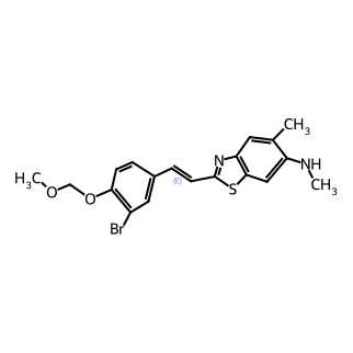 CNc1cc2sc(/C=C/c3ccc(OCOC)c(Br)c3)nc2cc1C